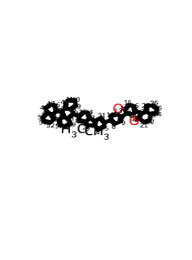 CC1(C)c2ccc(-c3ccc4c(c3)oc3ccc5c(oc6ccc7ccccc7c65)c34)cc2-c2ccc(-c3c4ccccc4c(-c4cccc5ccccc45)c4ccccc34)cc21